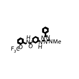 CNc1nc(N[C@@H]2CCC[C@H](C(=O)NCc3ccccc3OC(F)(F)F)C2)nc(-c2ccccc2)n1